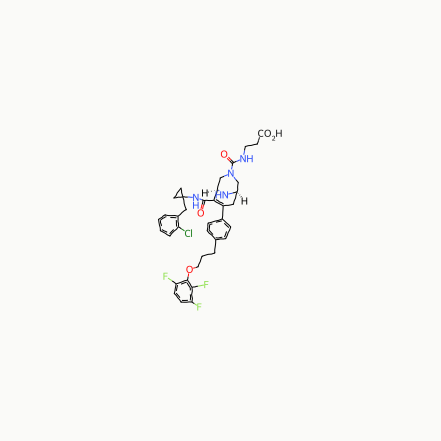 O=C(O)CCNC(=O)N1C[C@H]2CC(c3ccc(CCCOc4c(F)ccc(F)c4F)cc3)=C(C(=O)NC3(Cc4ccccc4Cl)CC3)[C@@H](C1)N2